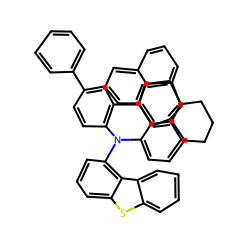 c1ccc(-c2ccc(N(c3ccccc3-c3cccc4cccc(C5CCCCC5)c34)c3cccc4sc5ccccc5c34)c(-c3ccccc3)c2)cc1